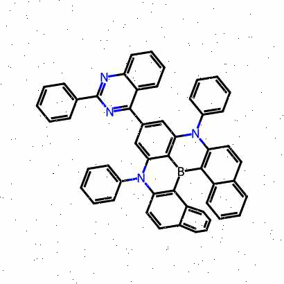 c1ccc(-c2nc(-c3cc4c5c(c3)N(c3ccccc3)c3ccc6ccccc6c3B5c3c(ccc5ccccc35)N4c3ccccc3)c3ccccc3n2)cc1